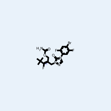 CC(C)(C)/C(F)=C(\COC(N)=O)Cn1ncn(-c2cc(F)c(Br)cc2F)c1=O